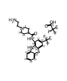 NCCN1CCC(C(=O)Nc2cc(C(F)(F)F)cc3c2Nc2ccccc2S3)CC1.O=C(O)C(F)(F)F